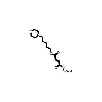 CCCCCOC(=O)/C=C/C(=O)OCCCCCN1CCOCC1